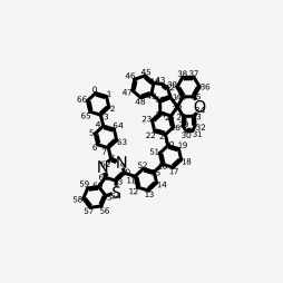 c1ccc(-c2ccc(-c3nc(-c4cccc(-c5cccc(-c6ccc7c(c6)C6(c8ccccc8Oc8ccccc86)c6ccc8ccccc8c6-7)c5)c4)c4sc5ccccc5c4n3)cc2)cc1